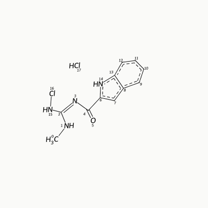 CN/C(=N\C(=O)c1cc2ccccc2[nH]1)NCl.Cl